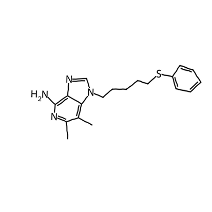 Cc1nc(N)c2ncn(CCCCCSc3ccccc3)c2c1C